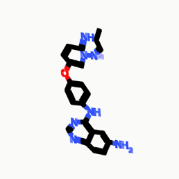 CC/C=N\n1cc(Oc2ccc(Nc3ncnc4ccc(N)cc34)cc2)ccc1=N